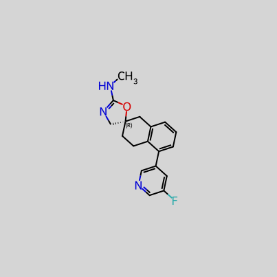 CNC1=NC[C@]2(CCc3c(cccc3-c3cncc(F)c3)C2)O1